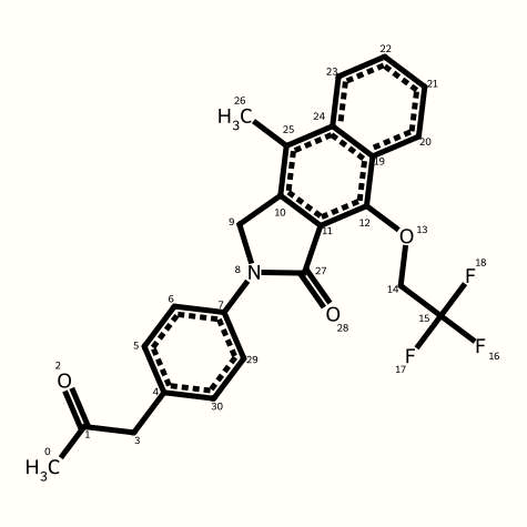 CC(=O)Cc1ccc(N2Cc3c(c(OCC(F)(F)F)c4ccccc4c3C)C2=O)cc1